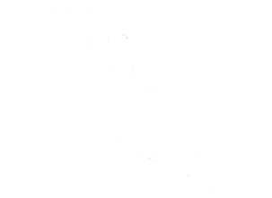 Cc1nc(CC=O)sc1SSc1sc(CC=O)nc1C